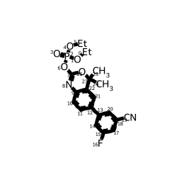 CCOP(=O)(OCC)OC1=Nc2ccc(-c3cc(F)cc(C#N)c3)cc2C(C)(C)O1